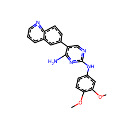 COc1ccc(Nc2ncc(-c3ccc4ncccc4c3)c(N)n2)cc1OC